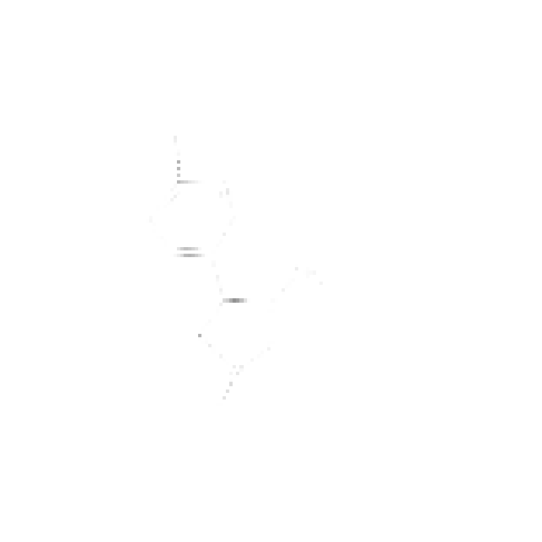 CCN1CC(N)C(c2ccc(Br)cc2)C1